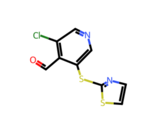 O=Cc1c(Cl)cncc1Sc1nccs1